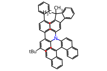 CC(C)(C)c1ccc(N(c2ccc3c(c2)-c2ccccc2C3(C)C)c2ccc3ccccc3c2-c2cccc3ccccc23)c(-c2ccc(-c3ccccc3)cc2)c1